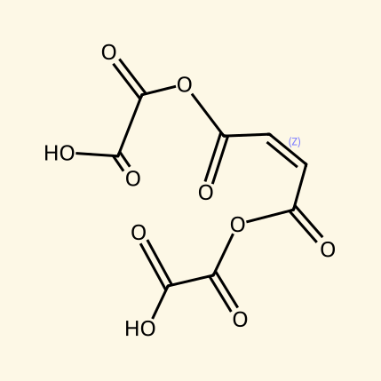 O=C(/C=C\C(=O)OC(=O)C(=O)O)OC(=O)C(=O)O